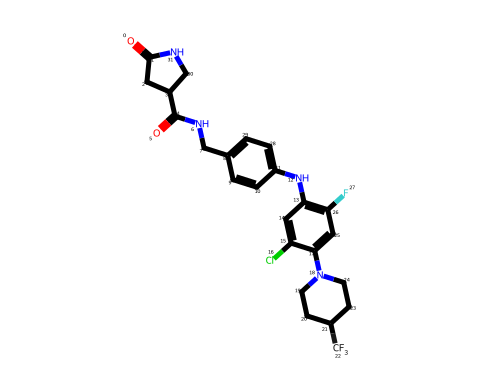 O=C1CC(C(=O)NCc2ccc(Nc3cc(Cl)c(N4CCC(C(F)(F)F)CC4)cc3F)cc2)CN1